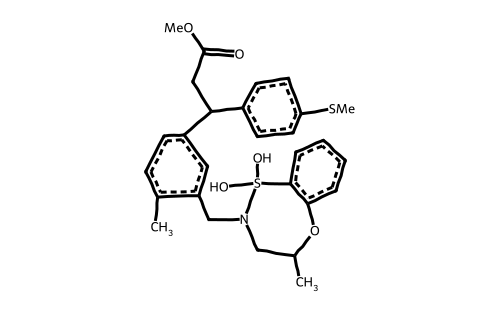 COC(=O)CC(c1ccc(SC)cc1)c1ccc(C)c(CN2CC(C)Oc3ccccc3S2(O)O)c1